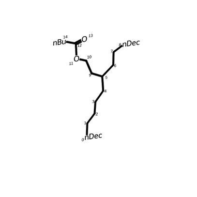 CCCCCCCCCCCCCCC(CCCCCCCCCCCC)CCOC(=O)CCCC